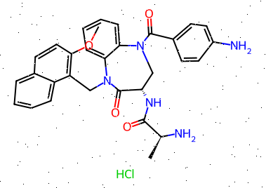 COc1ccc2ccccc2c1CN1C(=O)[C@@H](NC(=O)[C@H](C)N)CN(C(=O)c2ccc(N)cc2)c2ccccc21.Cl